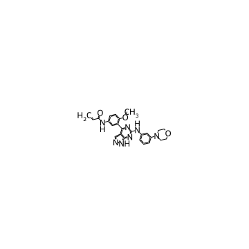 C=CC(=O)Nc1ccc(OC)c(-c2nc(Nc3cccc(N4CCOCC4)c3)nc3[nH]ncc23)c1